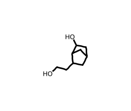 OCCC1CC2CC(O)C1C2